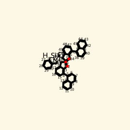 CC1=Cc2c(-c3cccc4ccccc34)cccc2[CH]1[Zr](=[SiH2])([Cl])([Cl])([CH2]c1ccccc1)[CH]1C(C)=Cc2c(-c3cccc4ccccc34)cccc21